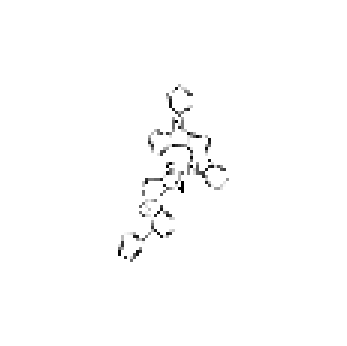 C1=CC2SC(n3c4ccccc4c4ccc5c(c6ccccc6n5-c5ccccc5)c43)=NC2c2c1oc1c(-c3ccccc3)cccc21